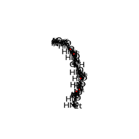 CCOC(=N)CCNC(=O)c1nc(NC(=O)c2cc(NC(=O)CCNC(=O)c3nc(NC(=O)CCCNC(=O)c4cc(NC(=O)c5nc(NC(=O)CCNC(=O)c6cc(NC(=O)c7nccn7C)cn6C)cn5C)cn4C)cn3C)cn2C)cn1C